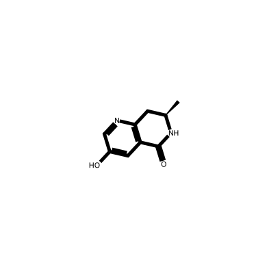 C[C@@H]1Cc2ncc(O)cc2C(=O)N1